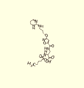 CCCCS(=O)(=O)NC(CNC(=O)c1cc(OCCCNC2N=CCCN2)no1)C(=O)O